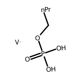 CCCCOP(=O)(O)O.[V]